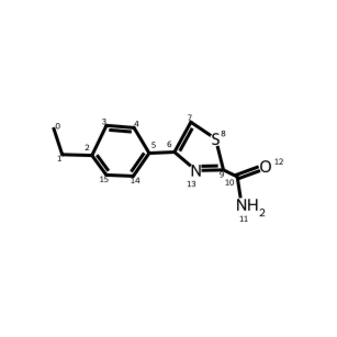 CCc1ccc(-c2csc(C(N)=O)n2)cc1